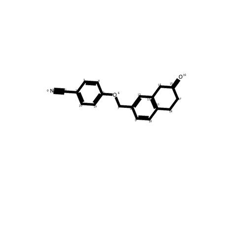 N#Cc1ccc(OCc2ccc3c(c2)CC(=O)CC3)cc1